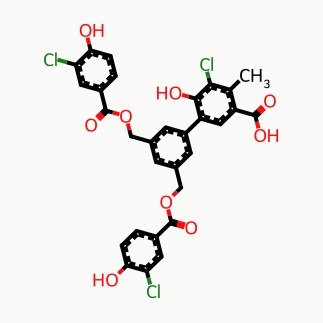 Cc1c(C(=O)O)cc(-c2cc(COC(=O)c3ccc(O)c(Cl)c3)cc(COC(=O)c3ccc(O)c(Cl)c3)c2)c(O)c1Cl